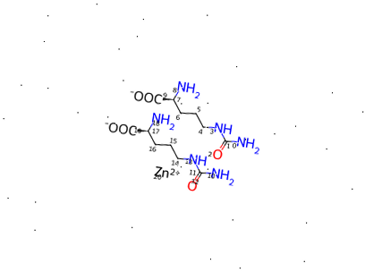 NC(=O)NCCC[C@H](N)C(=O)[O-].NC(=O)NCCC[C@H](N)C(=O)[O-].[Zn+2]